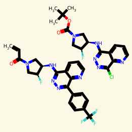 C=CC(=O)N1C[C@H](F)[C@H](Nc2nnc(-c3ccc(C(F)(F)F)cc3)c3ncccc23)C1.CC(C)(C)OC(=O)N1C[C@H](F)[C@H](Nc2nnc(Cl)c3ncccc23)C1